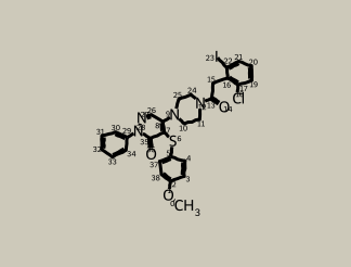 COc1ccc(Sc2c(N3CCN(C(=O)Cc4c(Cl)cccc4I)CC3)cnn(-c3ccccc3)c2=O)cc1